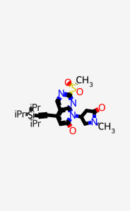 CC(C)[Si](C#Cc1cc(=O)n(C2CC(=O)N(C)C2)c2nc(S(C)(=O)=O)ncc12)(C(C)C)C(C)C